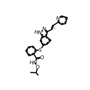 CC(C)ONC(=O)c1ccccc1Sc1ccc2c(/C=C/c3ccccn3)n[nH]c2c1